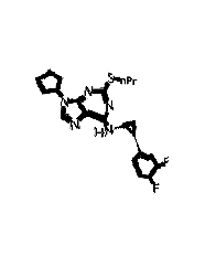 CCCSc1nc(N[C@@H]2C[C@H]2c2ccc(F)c(F)c2)c2ncn(C3CCCC3)c2n1